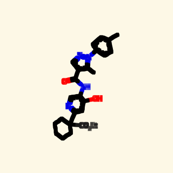 CCOC(=O)C1(c2cc(O)c(NC(=O)c3cnn(-c4ccc(C)cc4)c3C)cn2)CCCCC1